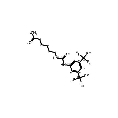 CC(=O)CCCCCNC(=S)Nc1cc(C(F)(F)F)cc(C(F)(F)F)c1